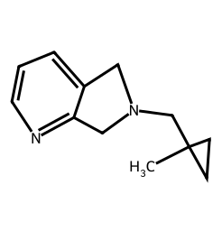 CC1(CN2Cc3cccnc3C2)CC1